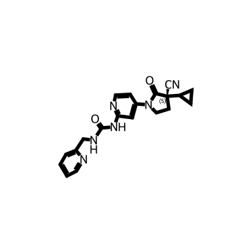 N#C[C@@]1(C2CC2)CCN(c2ccnc(NC(=O)NCc3ccccn3)c2)C1=O